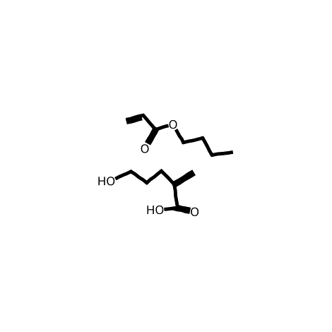 C=C(CCCO)C(=O)O.C=CC(=O)OCCCC